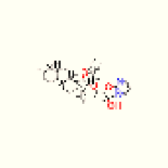 CC[Si](CC)(CC)O[C@H]1[C@H]2O[C@@H]([C@H](Oc3ncccn3)C(C)(C)O)C[C@@H](C)[C@@H]2[C@@]2(C)CC[C@@]34C[C@@]35CC[C@H](C)C(C)(C)[C@@H]5CC[C@H]4[C@]12C